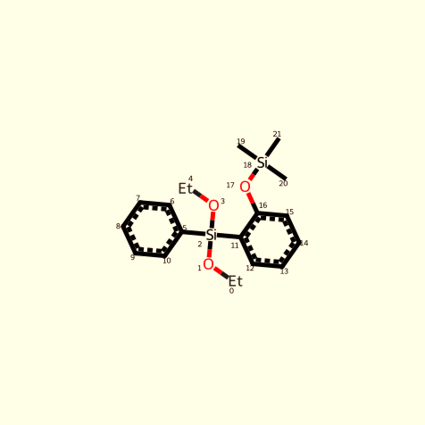 CCO[Si](OCC)(c1ccccc1)c1ccccc1O[Si](C)(C)C